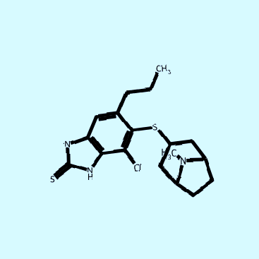 CCCc1cc2c(c(Cl)c1SC1CC3CCC(C1)N3C)NC(=S)[N]2